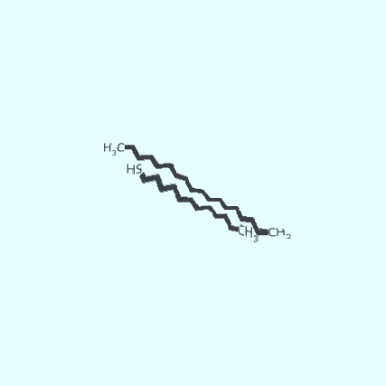 C=CCCCCCCCCCCCCCCCC.CCCCCCCCCCCCS